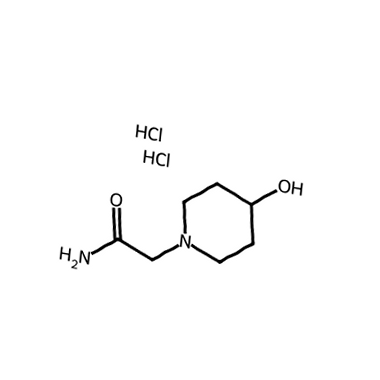 Cl.Cl.NC(=O)CN1CCC(O)CC1